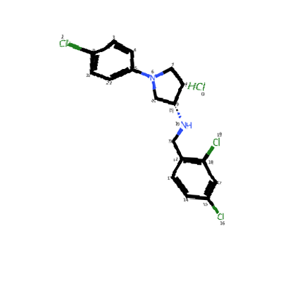 Cl.Clc1ccc(N2CC[C@H](NCc3ccc(Cl)cc3Cl)C2)cc1